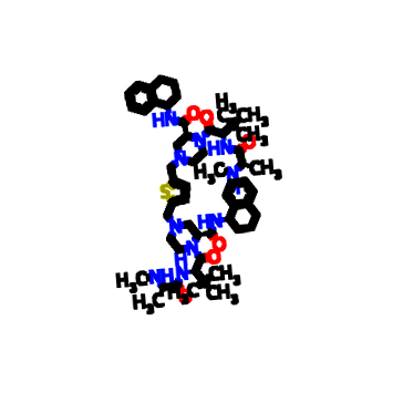 CN[C@@H](C)C(=O)N[C@H](C(=O)N1CCN(Cc2ccc(CN3CCN(C(=O)[C@@H](NC(=O)[C@H](C)NC)C(C)(C)C)[C@H](C(=O)N[C@@H]4CCCc5ccccc54)C3)s2)C[C@H]1C(=O)N[C@@H]1CCCc2ccccc21)C(C)(C)C